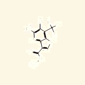 COC(=O)c1csc2c(C(F)(F)F)c(Cl)c(O)nc12